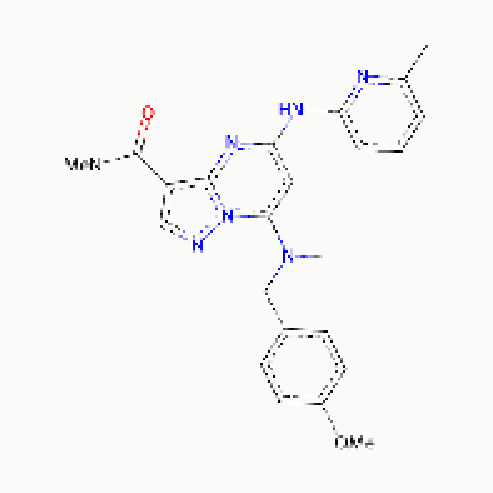 CNC(=O)c1cnn2c(N(C)Cc3ccc(OC)cc3)cc(Nc3cccc(C)n3)nc12